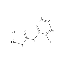 NCC(=CF)Cc1ccccc1Cl